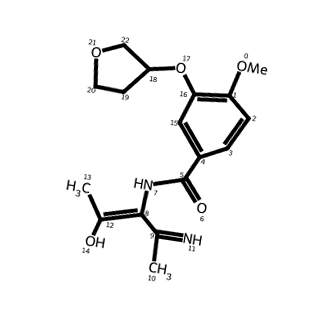 COc1ccc(C(=O)N/C(C(C)=N)=C(\C)O)cc1OC1CCOC1